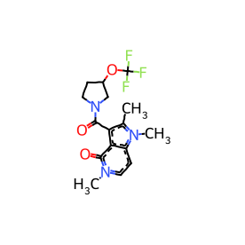 Cc1c(C(=O)N2CCC(OC(F)(F)F)C2)c2c(=O)n(C)ccc2n1C